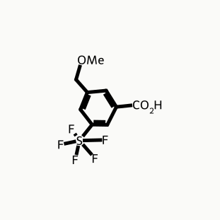 COCc1cc(C(=O)O)cc(S(F)(F)(F)(F)F)c1